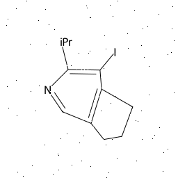 CC(C)c1ncc2c(c1I)CCC2